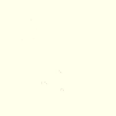 CC1(OC(=O)C2CCC(N=C(NC3CCCCC3)NC3CCCCC3)CC2)CCCC1